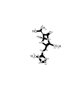 CC(O)[C@H]1C(=O)N2C(C(=O)O)=C(CSc3nnnn3C)S[C@H]12